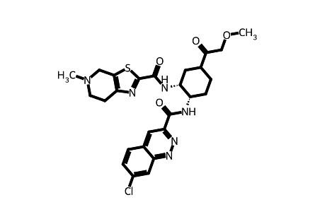 COCC(=O)C1CC[C@H](NC(=O)c2cc3ccc(Cl)cc3nn2)[C@H](NC(=O)c2nc3c(s2)CN(C)CC3)C1